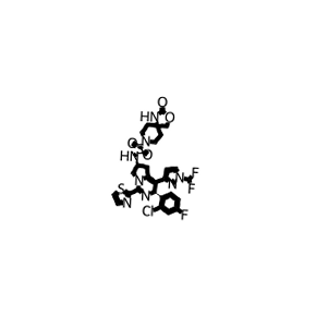 O=C1NC2(CCN(S(=O)(=O)N[C@H]3CC4=C(c5ccn(C(F)F)n5)[C@H](c5ccc(F)cc5Cl)N=C(c5nccs5)N4C3)CC2)CO1